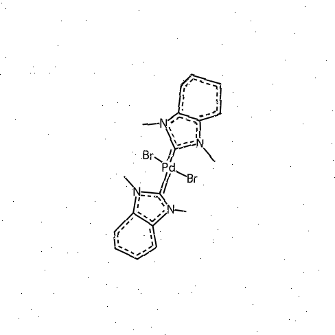 Cn1[c](=[Pd]([Br])([Br])=[c]2n(C)c3ccccc3n2C)n(C)c2ccccc21